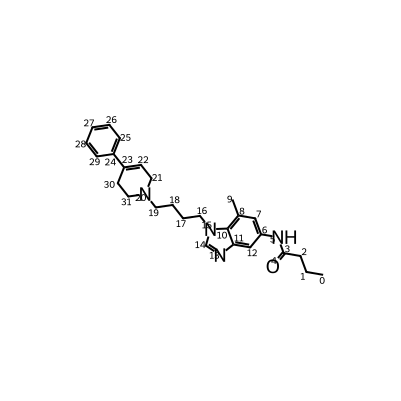 CCCC(=O)Nc1cc(C)c2c(c1)ncn2CCCCN1CC=C(c2ccccc2)CC1